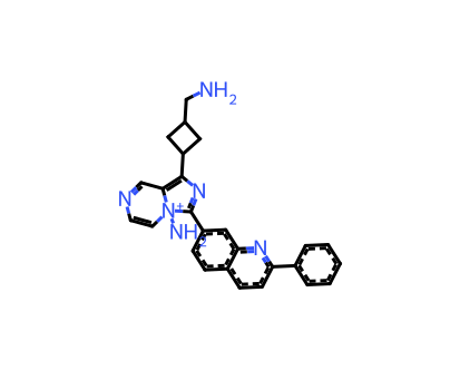 NCC1CC(C2=C3C=NC=C[N+]3(N)C(c3ccc4ccc(-c5ccccc5)nc4c3)=N2)C1